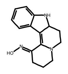 ON=C1CCCN2CCC3Nc4ccccc4C3=C12